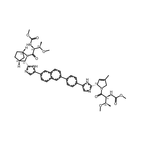 COC(=O)N[C@H](C(=O)N1CC(C)=C[C@H]1c1ncc(-c2ccc(-c3ccc4cc(-c5cnc([C@@H]6[C@@H]7CC[C@@H](C7)N6C(=O)[C@@H](NC(=O)OC)[C@@H](C)OC)[nH]5)ccc4c3)cc2)[nH]1)[C@@H](C)OC